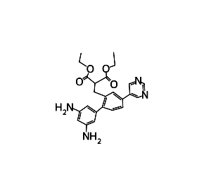 CCOC(=O)C(Cc1cc(-c2cncnc2)ccc1-c1cc(N)cc(N)c1)C(=O)OCC